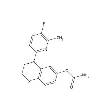 Cc1nc(N2CCSc3ccc(OC(N)=O)cc32)ccc1F